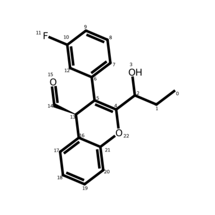 CCC(O)C1=C(c2cccc(F)c2)[C@H](C=O)c2ccccc2O1